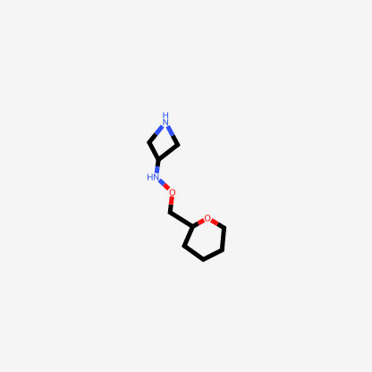 C1CCC(CONC2CNC2)OC1